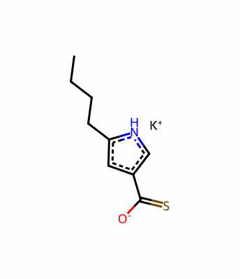 CCCCc1cc(C([O-])=S)c[nH]1.[K+]